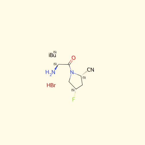 Br.CC[C@H](C)[C@H](N)C(=O)N1C[C@@H](F)C[C@H]1C#N